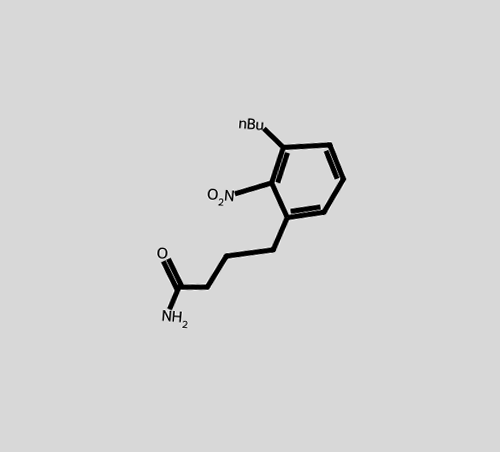 CCCCc1cccc(CCCC(N)=O)c1[N+](=O)[O-]